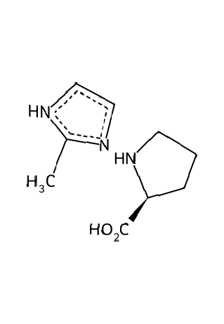 Cc1ncc[nH]1.O=C(O)[C@@H]1CCCN1